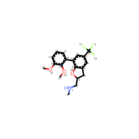 CNCC1Cc2cc(C(F)(F)F)cc(-c3cccc(OC)c3OC)c2O1